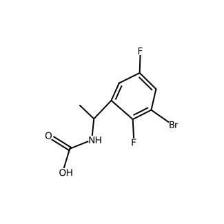 CC(NC(=O)O)c1cc(F)cc(Br)c1F